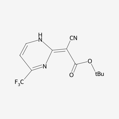 CC(C)(C)OC(=O)/C(C#N)=C1\N=C(C(F)(F)F)C=CN1